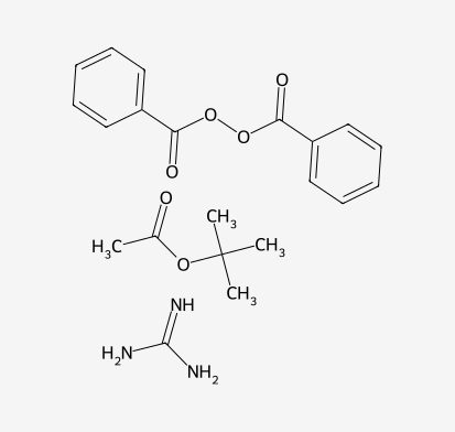 CC(=O)OC(C)(C)C.N=C(N)N.O=C(OOC(=O)c1ccccc1)c1ccccc1